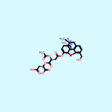 CC(=O)O[C@@H](CC(=O)OC1=CC[C@@]2(O)[C@H]3Cc4ccc(CO)c5c4[C@@]2(CCN3C)[C@H]1O5)C(=O)O[C@H](CC(=O)O)C(=O)O